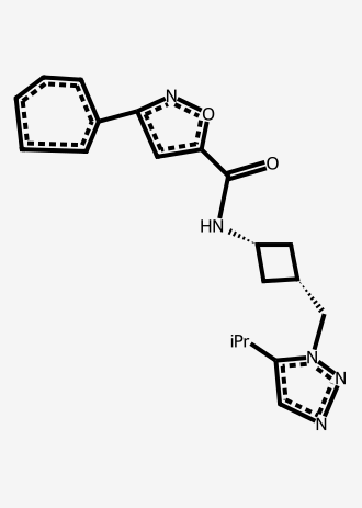 CC(C)c1cnnn1C[C@H]1C[C@@H](NC(=O)c2cc(-c3ccccc3)no2)C1